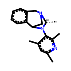 Cc1cc(C)c(N2C3CN(Cc4ccccc43)[C@@H]2C)c(C)n1